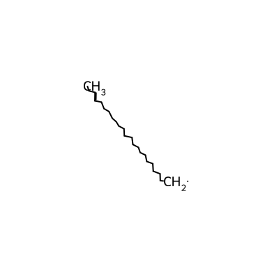 [CH2]CCCCCCCCCCCCCCCCCCC=CCC